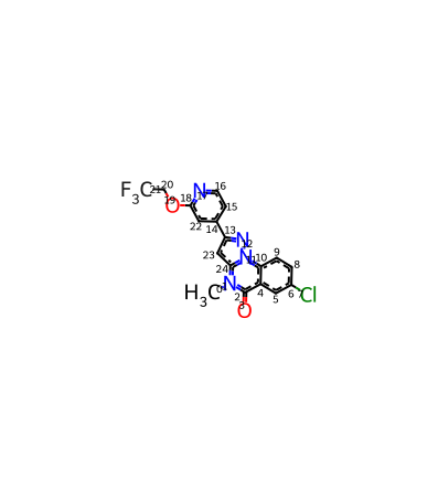 Cn1c(=O)c2cc(Cl)ccc2n2nc(-c3ccnc(OCC(F)(F)F)c3)cc12